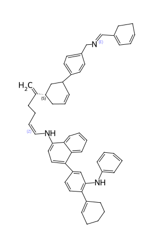 C=C(CC/C=C\Nc1ccc(-c2ccc(C3=CCCCC3)c(Nc3ccccc3)c2)c2ccccc12)[C@H]1CC=CC(c2ccc(C/N=C/C3=CC=CCC3)cc2)C1